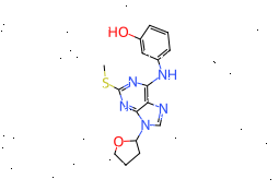 CSc1nc(Nc2cccc(O)c2)c2ncn(C3CCCO3)c2n1